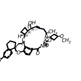 CO[C@H]1C[C@@H](N2[C@@H](C)C/C=C/[C@H](O)[C@@H]3CC[C@H]3CN3C[C@@]4(CCCc5cc(Cl)ccc54)COc4ccc(cc43)C(=O)NS2(=O)=O)C1